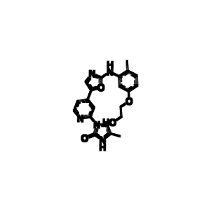 Cc1cn(-c2cc(-c3cnc(Nc4cc(OCCO)ccc4C)o3)ccn2)c(=O)[nH]1